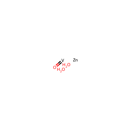 O.O.[O]=[V].[Zn]